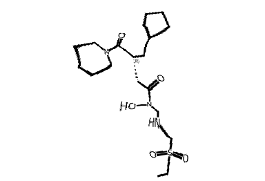 CCS(=O)(=O)CNCN(O)C(=O)C[C@@H](CC1CCCC1)C(=O)N1CCCCC1